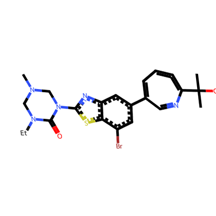 CCN1CN(C)CN(c2nc3cc(C4=CC=C=C(C(C)(C)O)N=C4)cc(Br)c3s2)C1=O